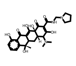 CN(C)C1C(O)=C(C(=O)NCN2CCCC2)C(=O)[C@@]2(O)C(O)=C3C(=O)c4c(O)cccc4[C@@](C)(O)C3C[C@@H]12